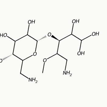 COC(CN)[C@@H](O[C@@H]1OC(CN)[C@H](O)C(O)C1O)C(O)C(O)O